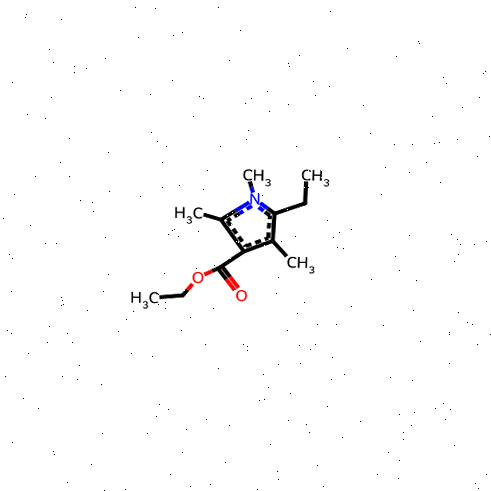 CCOC(=O)c1c(C)c(CC)n(C)c1C